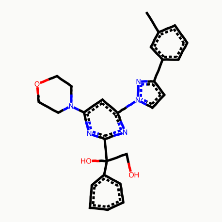 Cc1cccc(-c2ccn(-c3cc(N4CCOCC4)nc(C(O)(CO)c4ccccc4)n3)n2)c1